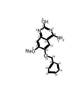 COc1cc2nc(O)nc(N)c2cc1OCc1ccccc1